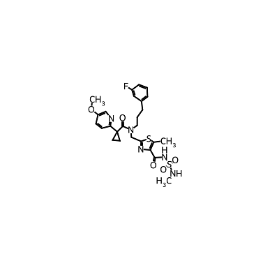 CNS(=O)(=O)NC(=O)c1nc(CN(CCCc2cccc(F)c2)C(=O)C2(c3ccc(OC)cn3)CC2)sc1C